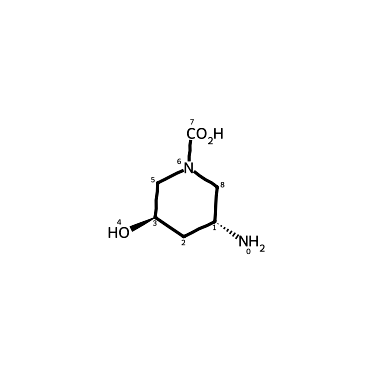 N[C@@H]1C[C@@H](O)CN(C(=O)O)C1